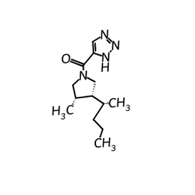 CCC[C@@H](C)[C@H]1CN(C(=O)c2cnn[nH]2)C[C@H]1C